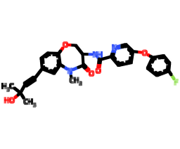 CN1C(=O)C(NC(=O)c2ccc(Oc3ccc(F)cc3)cn2)COc2ccc(C#CC(C)(C)O)cc21